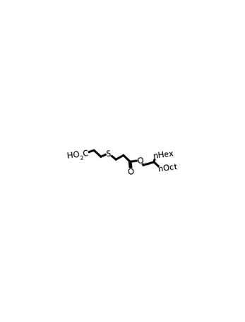 CCCCCCCCC(CCCCCC)COC(=O)CCSCCC(=O)O